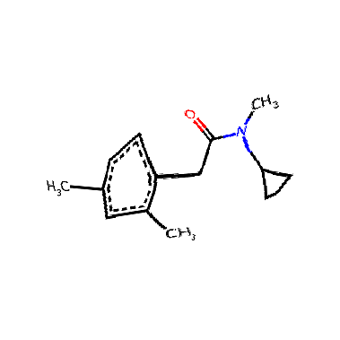 Cc1ccc(CC(=O)N(C)C2CC2)c(C)c1